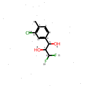 Cc1ccc(C(O)C(O)C(F)F)cc1Cl